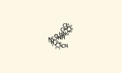 N#Cc1ccc(Cn2cncc2CC(=O)NCCNCc2cccc(Cl)c2Cl)cc1